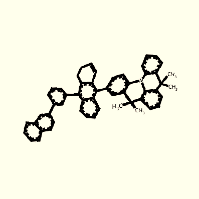 CC1(C)c2ccccc2N2c3ccc(-c4c5c(c(-c6cccc(-c7ccc8ccccc8c7)c6)c6ccccc46)CCC=C5)cc3C(C)(C)c3cccc1c32